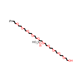 CC(C)CCOCCOCCOCCOCCOCCOCCOCCOCCOCCOCCO.O=S(=O)(O)O